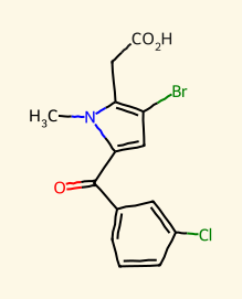 Cn1c(C(=O)c2cccc(Cl)c2)cc(Br)c1CC(=O)O